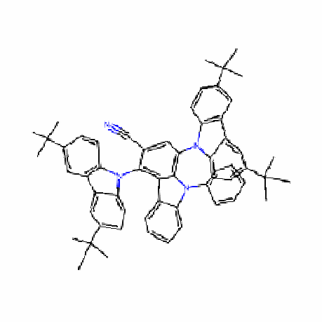 CC(C)(C)c1ccc2c(c1)c1cc(C(C)(C)C)ccc1n2-c1c(C#N)cc(-n2c3ccc(C(C)(C)C)cc3c3cc(C(C)(C)C)ccc32)c2c1c1ccccc1n2-c1ccccc1